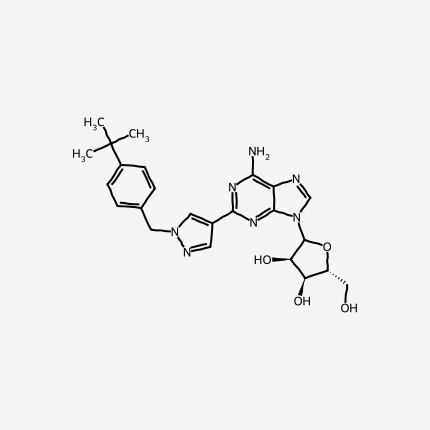 CC(C)(C)c1ccc(Cn2cc(-c3nc(N)c4ncn(C5O[C@H](CO)[C@@H](O)[C@H]5O)c4n3)cn2)cc1